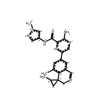 Cc1cc(-c2cnc(N)c(C(=O)Nc3cnn(C)c3)n2)cc2c1C1(CN=C2)CC1C